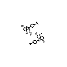 COCCn1c(-c2ccc(C3CC3)cc2)nc2c(Br)ccc(OC)c21.COc1ccc(Br)c2nc(-c3ccc(C4CC4)cc3)n(CCSC)c12